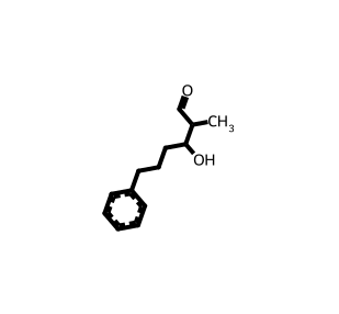 CC(C=O)C(O)CCCc1ccccc1